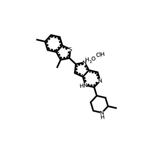 Cc1ccc2sc(-c3cc4[nH]c(C5CCNC(C)C5)ncc-4n3)c(C)c2c1.Cl.O